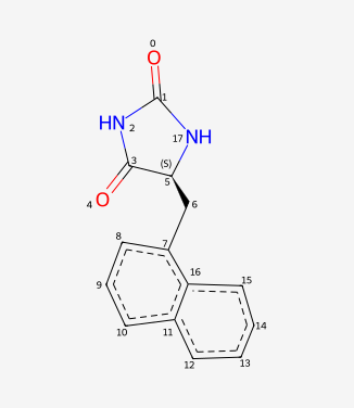 O=C1NC(=O)[C@H](Cc2cccc3ccccc23)N1